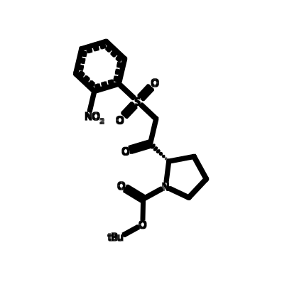 CC(C)(C)OC(=O)N1CCC[C@H]1C(=O)CS(=O)(=O)c1ccccc1[N+](=O)[O-]